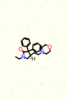 [2H][C@]1(CCN2CCOCC2)CN(CC)C(=O)C1(c1ccccc1)c1ccccc1